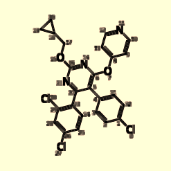 Clc1ccc(-c2c(Oc3ccncc3)nc(OCC3CC3)nc2-c2ccc(Cl)cc2Cl)cc1